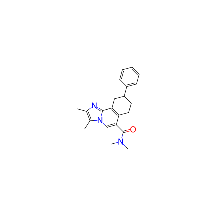 Cc1nc2c3c(c(C(=O)N(C)C)cn2c1C)CCC(c1ccccc1)C3